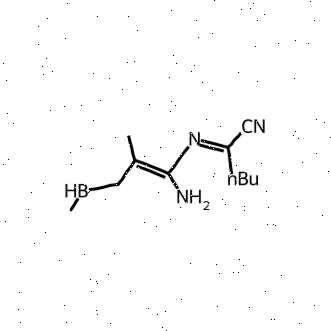 CBC/C(C)=C(N)/N=C(/C#N)CCCC